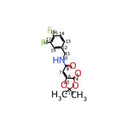 CC1(C)OC(=O)C(=CC(=O)NCc2ccc(F)c(F)c2)O1